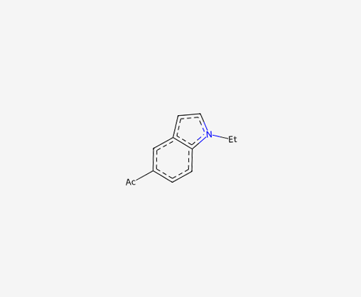 CCn1ccc2cc(C(C)=O)ccc21